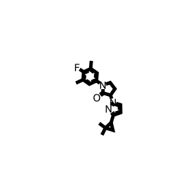 Cc1cc(N2CCC(n3ccc(C4CC4(C)C)n3)C2=O)cc(C)c1F